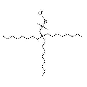 CCCCCCCC[P+](CCCCCCCC)(CCCCCCCC)C[Si](C)(C)OC.[Cl-]